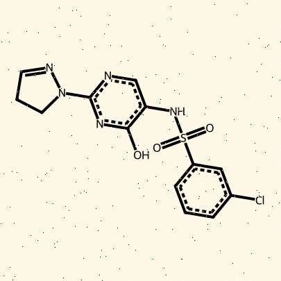 O=S(=O)(Nc1cnc(N2CCC=N2)nc1O)c1cccc(Cl)c1